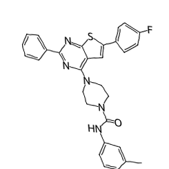 Cc1cccc(NC(=O)N2CCN(c3nc(-c4ccccc4)nc4sc(-c5ccc(F)cc5)cc34)CC2)c1